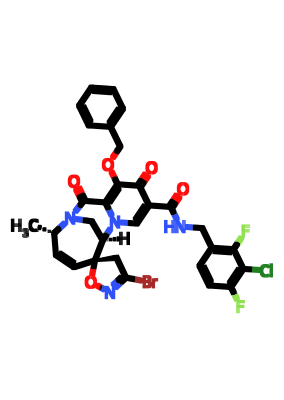 C[C@H]1C=C[C@]2(CC(Br)=NO2)[C@H]2CN1C(=O)c1c(OCc3ccccc3)c(=O)c(C(=O)NCc3ccc(F)c(Cl)c3F)cn12